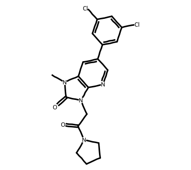 Cn1c(=O)n(CC(=O)N2CCCC2)c2ncc(-c3cc(Cl)cc(Cl)c3)cc21